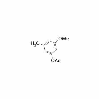 [CH2]c1cc(OC)cc(OC(C)=O)c1